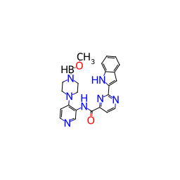 COBN1CCN(c2ccncc2NC(=O)c2ccnc(-c3cc4ccccc4[nH]3)n2)CC1